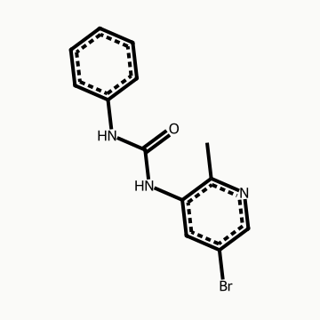 Cc1ncc(Br)cc1NC(=O)Nc1ccccc1